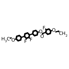 C=CCOc1ccc(C(=O)Oc2ccc(-c3ccc(-c4ccc(OCC)cc4)c(F)c3F)cc2)c(F)c1